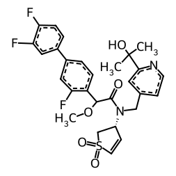 COC(C(=O)N(Cc1ccnc(C(C)(C)O)c1)[C@@H]1C=CS(=O)(=O)C1)c1ccc(-c2ccc(F)c(F)c2)cc1F